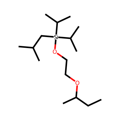 CCC(C)OCCO[Si](CC(C)C)(C(C)C)C(C)C